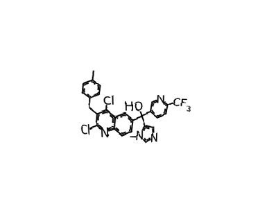 Cc1ccc(Cc2c(Cl)nc3ccc(C(O)(c4ccc(C(F)(F)F)nc4)c4cncn4C)cc3c2Cl)cc1